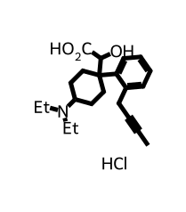 CC#CCc1ccccc1C1(C(O)C(=O)O)CCC(N(CC)CC)CC1.Cl